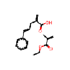 C=C(C)C(=O)OCC.C=C(CC=Cc1ccccc1)C(=O)O